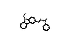 CCn1c2ccccc2c2cc(/C=N/N(C)c3ccccc3)ccc21